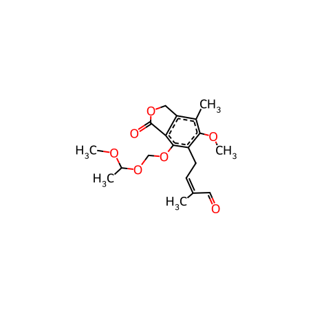 COc1c(C)c2c(c(OCOC(C)OC)c1CC=C(C)C=O)C(=O)OC2